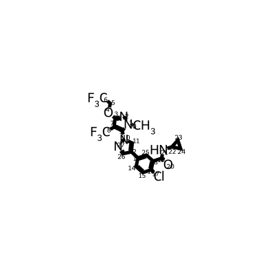 Cn1nc(OCC(F)(F)F)c(C(F)(F)F)c1-n1cc(-c2ccc(Cl)c(C(=O)NC3CC3)c2)cn1